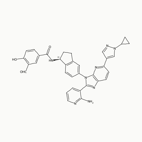 Nc1ncccc1-c1nc2ccc(-c3cnn(C4CC4)c3)nc2n1-c1ccc2c(c1)CC[C@@H]2NC(=O)c1ccc(O)c(C=O)c1